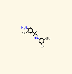 CC(C)(C)C1=CC(NCC(C)(C)c2ccc(N)c(C(C)(C)C)c2)=CC(C(C)(C)C)C1